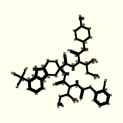 CCC(C)C(NC(=O)Cc1ccccc1F)C(=O)N[C@]1(C(=O)NC(C(=S)NC2CCC(O)CC2)C(C)CC)CCc2[nH]c3c(C(F)(F)F)cccc3c2C1